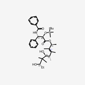 CC[C@H](O)C(C)(C)[C@@H](O)[C@@H](C)/C(C)=C(\C)[C@H](C)OC(=O)[C@H](O[Si](C)(C)C(C)(C)C)[C@@H](NC(=O)c1ccccc1)c1ccccc1